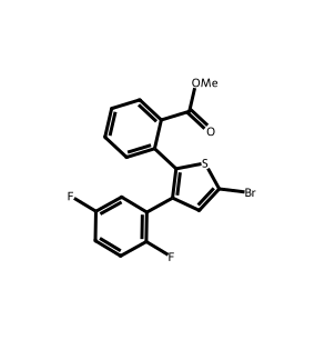 COC(=O)c1ccccc1-c1sc(Br)cc1-c1cc(F)ccc1F